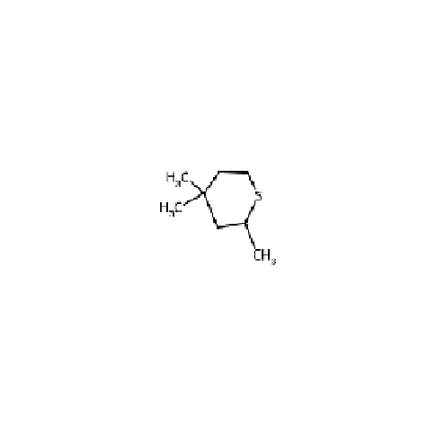 CC1CC(C)(C)CCS1